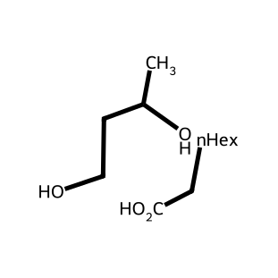 CC(O)CCO.CCCCCCCC(=O)O